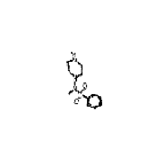 CN(N1CCNCC1)S(=O)(=O)c1ccccc1